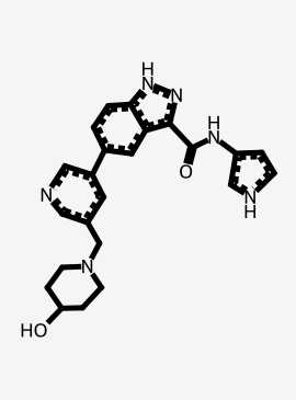 O=C(Nc1cc[nH]c1)c1n[nH]c2ccc(-c3cncc(CN4CCC(O)CC4)c3)cc12